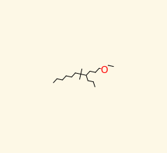 CCCCCCC(C)(C)C(CCC)CCCOCC